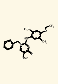 COc1cn(Cc2ccccc2)c(Nc2cc(C)c(OCC(F)(F)F)cc2C)nc1=O